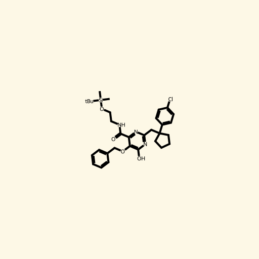 CC(C)(C)[Si](C)(C)OCCNC(=O)c1nc(CC2(c3ccc(Cl)cc3)CCCC2)nc(O)c1OCc1ccccc1